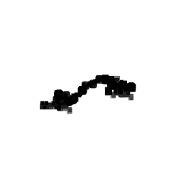 CN[C@@H](C)C(=O)N[C@H](C(=O)N1CCC2CCN(CCc3ccc(OCCOCCO[C@H]4CC[C@H](Nc5nccc(-c6cnn(Cc7ccccc7)c6N(C)C)n5)CC4)cc3)CC21)C1CCCCC1